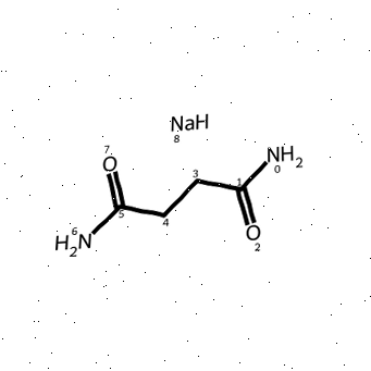 NC(=O)CCC(N)=O.[NaH]